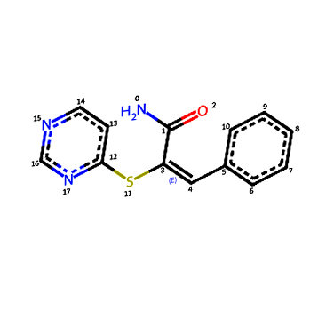 NC(=O)/C(=C\c1ccccc1)Sc1ccncn1